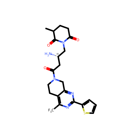 CC1CCC(=O)N(C[C@@H](N)CC(=O)N2CCc3c(nc(-c4cccs4)nc3C(F)(F)F)C2)C1=O